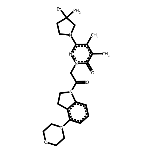 CCC1(P)CCN(c2nn(CC(=O)N3CCc4c(N5CCOCC5)cccc43)c(=O)c(C)c2C)C1